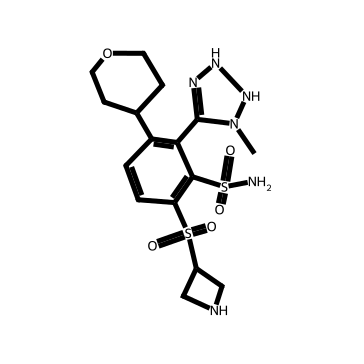 CN1NNN=C1c1c(C2CCOCC2)ccc(S(=O)(=O)C2CNC2)c1S(N)(=O)=O